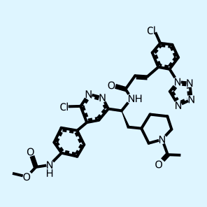 COC(=O)Nc1ccc(-c2cc([C@H](CC3CCCN(C(C)=O)C3)NC(=O)/C=C/c3cc(Cl)ccc3-n3cnnn3)nnc2Cl)cc1